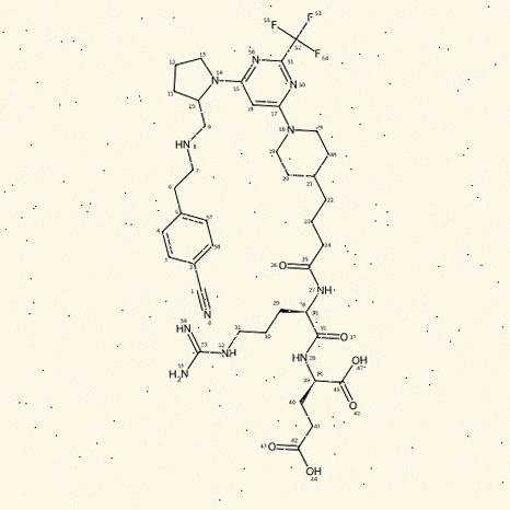 N#Cc1ccc(CCNCC2CCCN2c2cc(N3CCC(CCCC(=O)N[C@H](CCCNC(=N)N)C(=O)N[C@H](CCC(=O)O)C(=O)O)CC3)nc(C(F)(F)F)n2)cc1